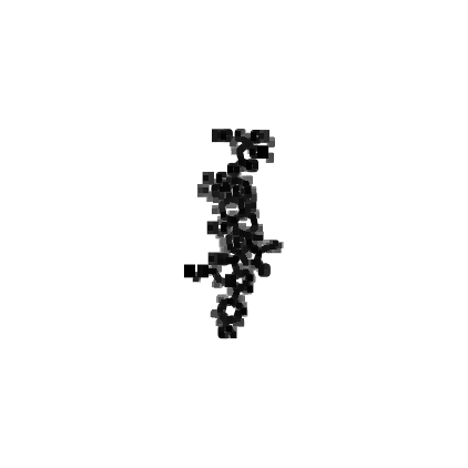 CC(C)C1=C2[C@H]3CC[C@@H]4[C@@]5(C)CC[C@H](OC(=O)CC(C)(C)C(=O)O)C(C)(C)[C@@H]5CC[C@@]4(C)[C@]3(C)CC[C@@]2(C(O)c2nnc(-c3ccc(C#N)cn3)n2CCN)CC1=O